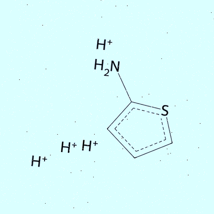 Nc1cccs1.[H+].[H+].[H+].[H+]